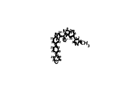 Cn1cc(-c2cnc3cnn([S+]([O-])c4cnc5ccc(-c6ccc(N7CCOCC7)cc6)cn45)c3c2)cn1